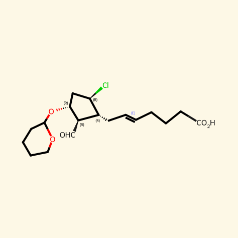 O=C[C@@H]1[C@@H](C/C=C/CCCC(=O)O)[C@H](Cl)C[C@H]1OC1CCCCO1